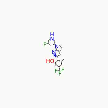 Cc1cc(C(F)(F)F)cc(O)c1-c1cc2c(nn1)N([C@H]1CNC[C@H](F)C1)CC2